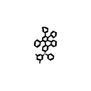 Cc1cc(C)cc(N(c2ccccc2)c2ccc3c(c2)c2ccccc2c2c(-c4ccccc4)c(-c4ccccc4)cc(-c4ccccc4)c32)c1